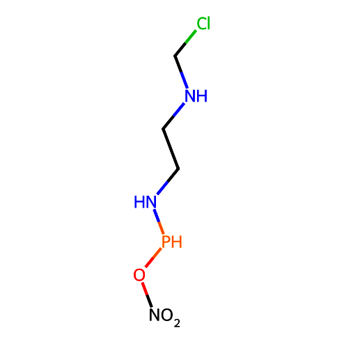 O=[N+]([O-])OPNCCNCCl